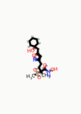 CC(CCc1cc(CC2(O)CCCCC2)on1)(C(=O)NO)S(C)(=O)=O